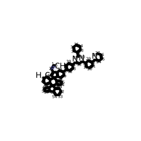 C/C=C\C1=C(C)C2(c3ccc(-c4ccc(-c5cc(-c6cccc(-c7ccccn7)c6)nc(-c6ccccc6)n5)cc4)cc31)c1ccccc1C1(c3ccccc3-c3ccccc31)c1ccccc12